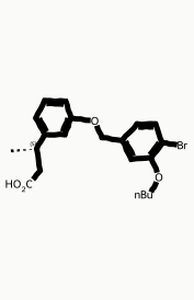 CCCCOc1cc(COc2cccc([C@@H](C)CC(=O)O)c2)ccc1Br